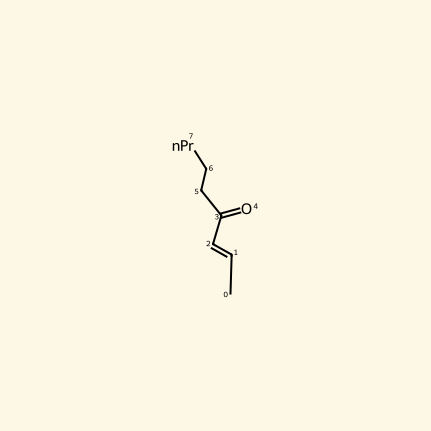 CC=CC(=O)CCCCC